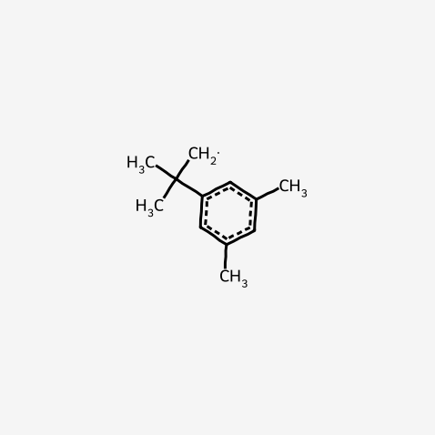 [CH2]C(C)(C)c1cc(C)cc(C)c1